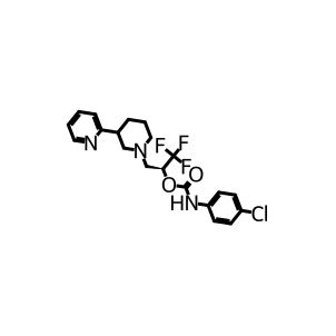 O=C(Nc1ccc(Cl)cc1)O[C@@H](CN1CCCC(c2ccccn2)C1)C(F)(F)F